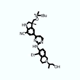 CCc1c(Nc2nccc(-c3cc(C#N)c4c(c3)[C@@](C)(CO[Si](C)(C)C(C)(C)C)CN4)n2)ccc2c1CCN(C(C)CO)C2